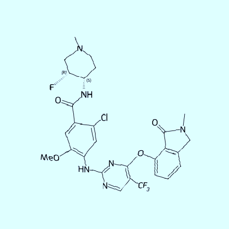 COc1cc(C(=O)N[C@H]2CCN(C)C[C@H]2F)c(Cl)cc1Nc1ncc(C(F)(F)F)c(Oc2cccc3c2C(=O)N(C)C3)n1